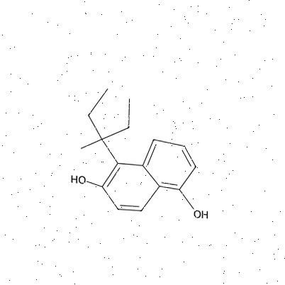 CCC(C)(CC)c1c(O)ccc2c(O)cccc12